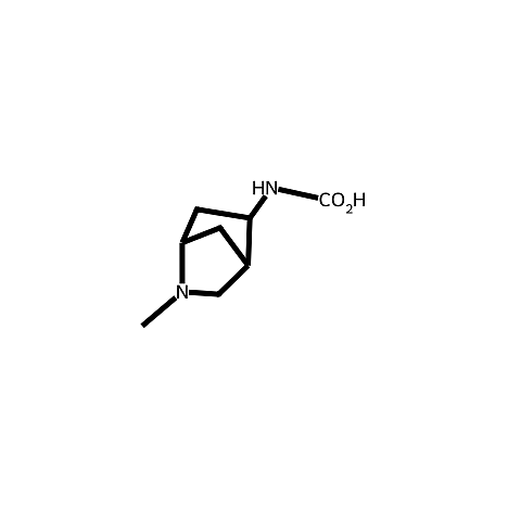 CN1CC2CC1CC2NC(=O)O